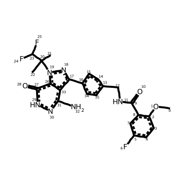 COc1ccc(F)cc1C(=O)NCc1ccc(-c2nn(C(C)(C)C(F)F)c3c(=O)[nH]nc(N)c23)cc1